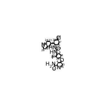 NC(=O)c1cc(Oc2ccc(NC(=O)Nc3ccc(Cl)cc3-c3ccc4ncccc4c3)c(F)c2)ccn1